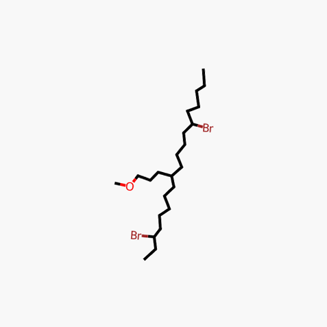 CCCCCC(Br)CCCCC(CCCCCC(Br)CC)CCCOC